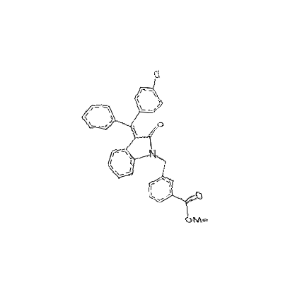 COC(=O)c1cccc(CN2C(=O)/C(=C(/c3ccccc3)c3ccc(Cl)cc3)c3ccccc32)c1